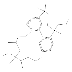 CCCC(C)C(C)(CC(C)OC[n+]1cnc(C(C)(C)C)cc1-c1ccccc1C(C)(CC)CCC)OC